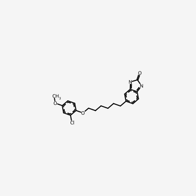 COc1ccc(OCCCCCCc2ccc3c(c2)=NC(=O)N=3)c(Cl)c1